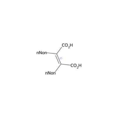 CCCCCCCCC/C(C(=O)O)=C(\CCCCCCCCC)C(=O)O